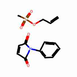 C=CCOS(C)(=O)=O.O=C1C=CC(=O)N1c1ccccc1